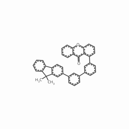 CC1(C)c2ccccc2-c2ccc(-c3cccc(-c4cccc(-c5cccc6oc7ccccc7c(=O)c56)c4)c3)cc21